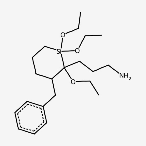 CCOC1(CCCN)C(Cc2ccccc2)CCC[Si]1(OCC)OCC